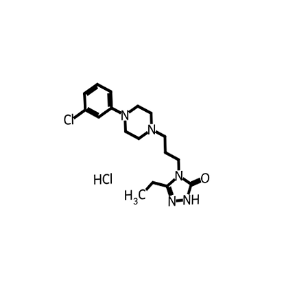 CCc1n[nH]c(=O)n1CCCN1CCN(c2cccc(Cl)c2)CC1.Cl